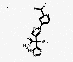 CCCCC(C(N)=O)(c1cnn(-c2cccc(C(F)F)c2)c1)c1ccn[nH]1